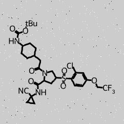 CC(C)(C)OC(=O)NC1CCC(CC(=O)N2CC(S(=O)(=O)c3ccc(OCC(F)(F)F)cc3Cl)CC2C(=O)NC2(C#N)CC2)CC1